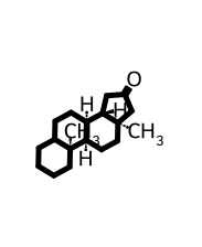 C[C@]12CC[C@@H]3[C@@H](CCC4CCCC[C@@]43C)[C@@H]1CC(=O)C2